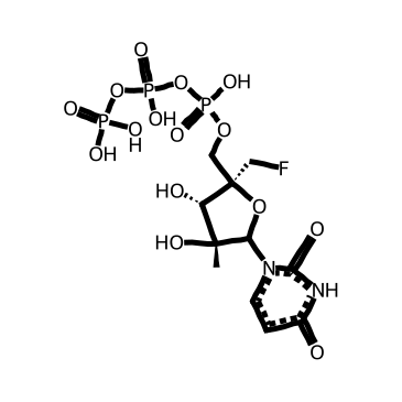 C[C@]1(O)C(n2ccc(=O)[nH]c2=O)O[C@](CF)(COP(=O)(O)OP(=O)(O)OP(=O)(O)O)[C@H]1O